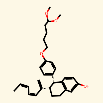 C=C(/C=C\C=C/C)[C@H]1CCc2cc(O)ccc2[C@H]1c1ccc(OCCCCC(OC)OC)cc1